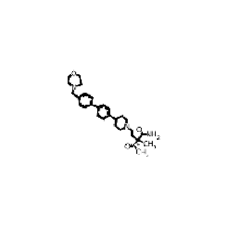 C[S+]([O-])C(C)(CCN1CC=C(c2ccc(-c3ccc(CN4CCOCC4)cc3)cc2)CC1)C(N)=O